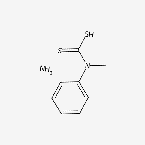 CN(C(=S)S)c1ccccc1.N